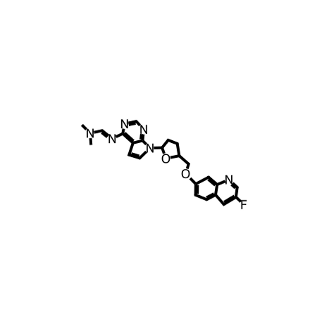 CN(C)/C=N/c1ncnc2c1ccn2C1CCC(COc2ccc3cc(F)cnc3c2)O1